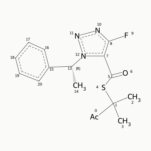 CC(=O)C(C)(C)SC(=O)c1c(F)nnn1[C@H](C)c1ccccc1